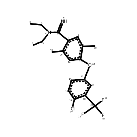 CCN(CC)C(=N)c1cc(C)c(Oc2ccc(Cl)c(C(F)(F)F)c2)cc1C